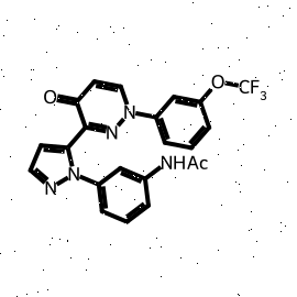 CC(=O)Nc1cccc(-n2nccc2-c2nn(-c3cccc(OC(F)(F)F)c3)ccc2=O)c1